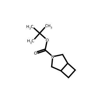 CC(C)(C)OC(=O)N1CC2CCC2C1